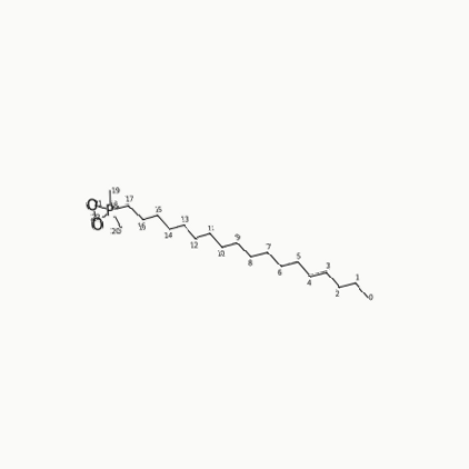 CCCCCCCCCCCCCCCCCCP1(C)(C)OO1